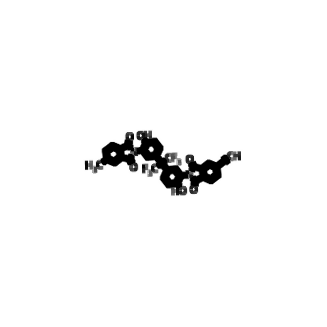 C#Cc1ccc2c(c1)C(=O)N(c1cc(C(c3ccc(O)c(N4C(=O)c5ccc(C)cc5C4=O)c3)(C(F)(F)F)C(F)(F)F)ccc1O)C2=O